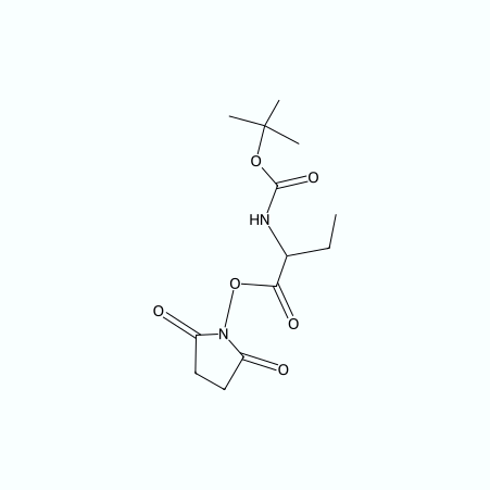 CCC(NC(=O)OC(C)(C)C)C(=O)ON1C(=O)CCC1=O